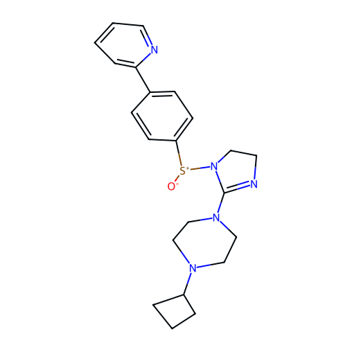 [O-][S+](c1ccc(-c2ccccn2)cc1)N1CCN=C1N1CCN(C2CCC2)CC1